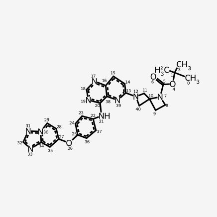 CC(C)(C)OC(=O)N1CCC12CN(c1ccc3ncnc(Nc4ccc(Oc5ccn6ncnc6c5)cc4)c3n1)C2